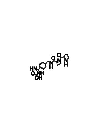 N=C(NC(=O)O)c1ccc(CNC(=O)[C@@H]2CCN2C(=O)[C@H]2CCCN2)cc1